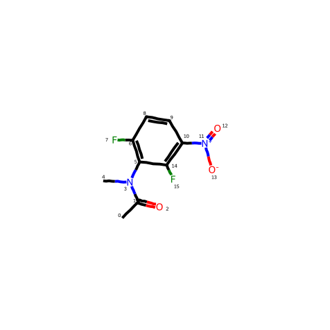 CC(=O)N(C)c1c(F)ccc([N+](=O)[O-])c1F